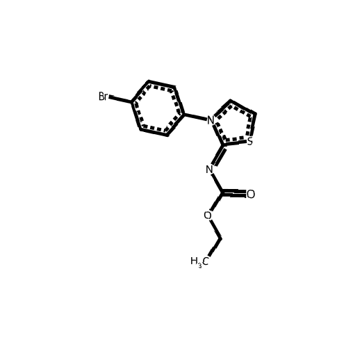 CCOC(=O)/N=c1\sccn1-c1ccc(Br)cc1